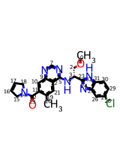 COC[C@@H](Nc1ncnc2cc(C(=O)N3CC=CC3)c(C)cc12)c1nc2cc(Cl)ccc2[nH]1